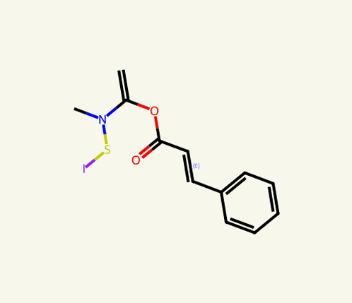 C=C(OC(=O)/C=C/c1ccccc1)N(C)SI